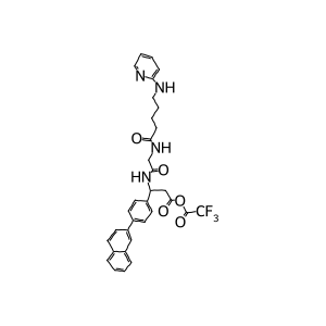 O=C(CCCCNc1ccccn1)NCC(=O)NC(CC(=O)OC(=O)C(F)(F)F)c1ccc(-c2ccc3ccccc3c2)cc1